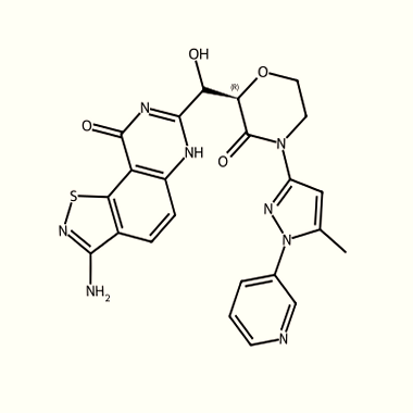 Cc1cc(N2CCO[C@H](C(O)c3nc(=O)c4c(ccc5c(N)nsc54)[nH]3)C2=O)nn1-c1cccnc1